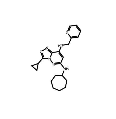 c1ccc(CNc2cc(NC3CCCCCC3)nn3c(C4CC4)nnc23)nc1